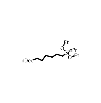 CCCCCCCCCCCCCCCC[Si](CCC)(OCC)OCC